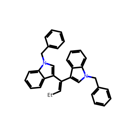 CCC=C(c1cn(Cc2ccccc2)c2ccccc12)c1cn(Cc2ccccc2)c2ccccc12